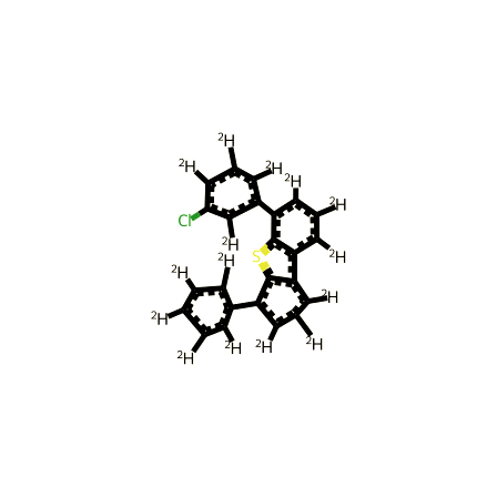 [2H]c1c([2H])c([2H])c(-c2c([2H])c([2H])c([2H])c3c2sc2c(-c4c([2H])c([2H])c([2H])c(Cl)c4[2H])c([2H])c([2H])c([2H])c23)c([2H])c1[2H]